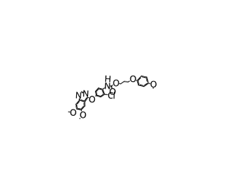 COc1ccc(OCCCOC(=O)Nc2ccc(Oc3ncnc4cc(OC)c(OC)cc34)cc2Cl)cc1